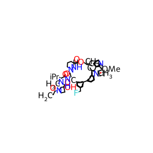 C=CC(=O)N1CCC(O)(C(=O)N(C)[C@H](C(=O)N[C@H]2Cc3cc(CF)cc(c3)-c3ccc4c(c3)c(c(-c3cccnc3[C@H](C)OC)n4CC)CC(C)(C)COC(=O)[C@@H]3CCCN(N3)C2=O)C(C)C)C1